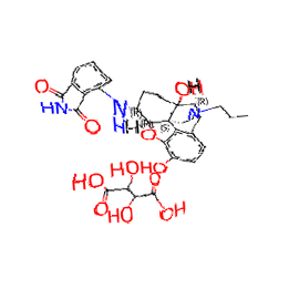 CCCN1CC[C@]23c4c5ccc(O)c4O[C@H]2[C@H](Nc2cccc4c2C(=O)NC4=O)CCC3(O)[C@H]1C5.O=C(O)C(O)C(O)C(=O)O